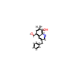 Bc1cc(C=O)c2cc(Cc3ccccc3)cnc2c1O